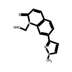 Cn1ccc(-c2ccc3ccc(=O)n(CC=O)c3c2)n1